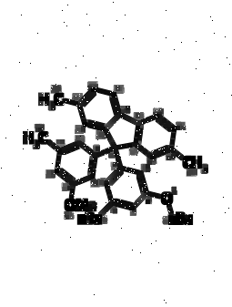 CCCCOc1cc(CCCC)cc(C2(c3cc(C)cc(OC)c3)c3cc(C)ccc3-c3ccc(C)cc32)c1